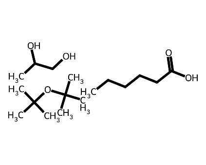 CC(C)(C)OC(C)(C)C.CC(O)CO.CCCCCC(=O)O